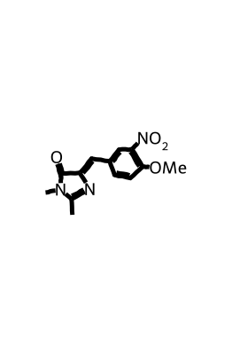 COc1ccc(/C=C2\N=C(C)N(C)C2=O)cc1[N+](=O)[O-]